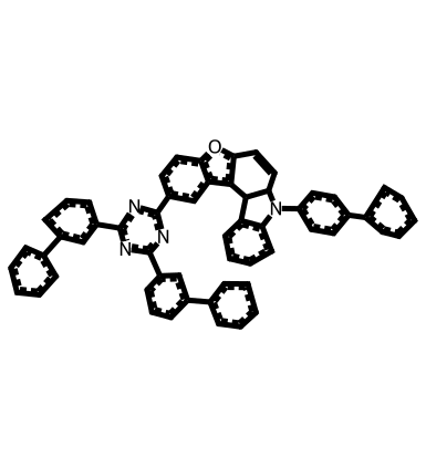 C1=CC2C(c3ccccc3N2c2ccc(-c3ccccc3)cc2)c2c1oc1ccc(-c3nc(-c4cccc(-c5ccccc5)c4)nc(-c4cccc(-c5ccccc5)c4)n3)cc21